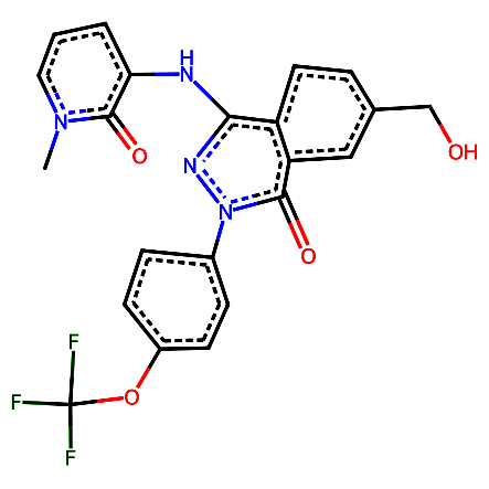 Cn1cccc(Nc2nn(-c3ccc(OC(F)(F)F)cc3)c(=O)c3cc(CO)ccc23)c1=O